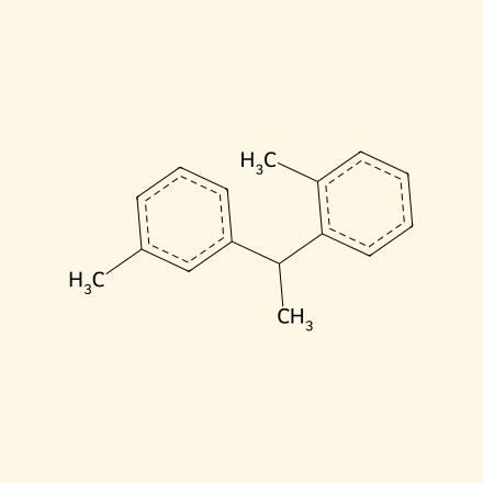 Cc1cccc(C(C)c2ccccc2C)c1